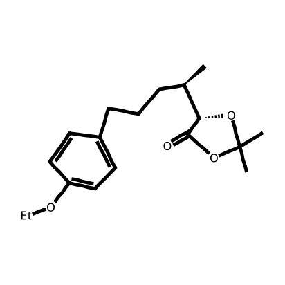 CCOc1ccc(CCC[C@@H](C)[C@@H]2OC(C)(C)OC2=O)cc1